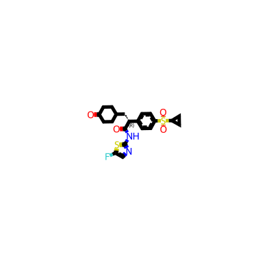 O=C1CCC(C[C@@H](C(=O)Nc2ncc(F)s2)c2ccc(S(=O)(=O)C3CC3)cc2)CC1